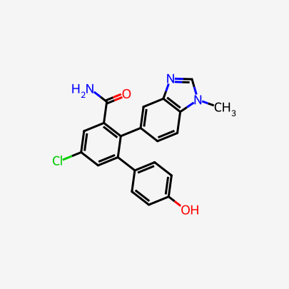 Cn1cnc2cc(-c3c(C(N)=O)cc(Cl)cc3-c3ccc(O)cc3)ccc21